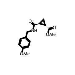 COC(=O)[C@H]1C[C@@H]1C(=O)NCc1ccc(OC)cc1